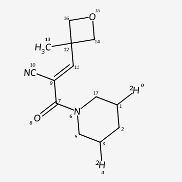 [2H]C1CC([2H])CN(C(=O)C(C#N)=CC2(C)COC2)C1